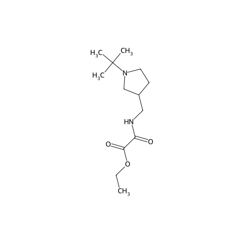 CCOC(=O)C(=O)NCC1CCN(C(C)(C)C)C1